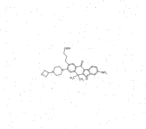 COCCCc1cc2c(cc1N1CCN(C3COC3)CC1)C(C)(C)c1[nH]c3cc(N)ccc3c1C2=O